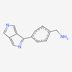 NCc1ccc(C2=NC=C3C=NC=C32)cc1